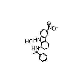 C[C@@H](NC1CCCc2c1[nH]c1ccc([N+](=O)[O-])cc21)c1ccccc1.Cl